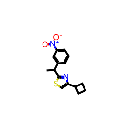 CC(c1cccc([N+](=O)[O-])c1)c1nc(C2CCC2)cs1